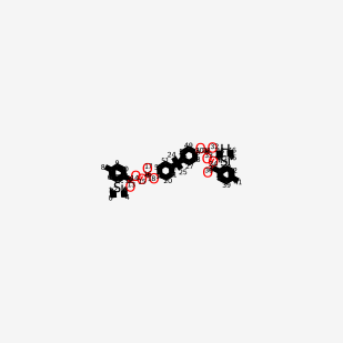 C=C[SiH](C=C)c1cc(C)ccc1C(=O)OOC(=O)OC1CCC(C(C)(C)C2CCC(OC(=O)OOC(=O)c3ccc(C)cc3[SiH](C=C)C=C)CC2)CC1